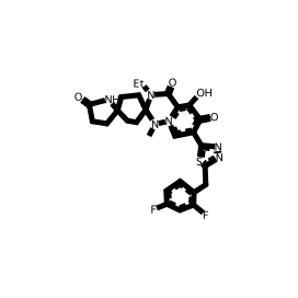 CCN1C(=O)c2c(O)c(=O)c(-c3nnc(Cc4ccc(F)cc4F)s3)cn2N(C)C12CCC1(CCC(=O)N1)CC2